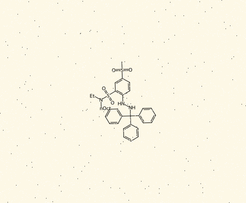 CCCCCCCCN(CC)S(=O)(=O)c1cc(S(C)(=O)=O)ccc1NNC(c1ccccc1)(c1ccccc1)c1ccccc1